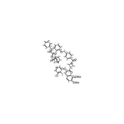 COc1ccc([C@H](Cc2c(Cl)cncc2Cl)OC(=O)C2CN(C(=O)c3ccc(COc4cccc([C@@H](NC(=O)O[C@H]5CN6CCC5CC6)c5ccccc5)c4)cc3)C2)cc1OC